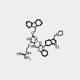 CCn1cc(CN2CCCC2)c2ccc(NC(=O)[C@H](Cc3ccccc3)NC(=O)[C@H](CCCNC(=N)N)NC(=O)OCC3c4ccccc4-c4ccccc43)cc21